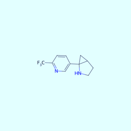 FC(F)(F)c1ccc(C23CC2CCN3)cn1